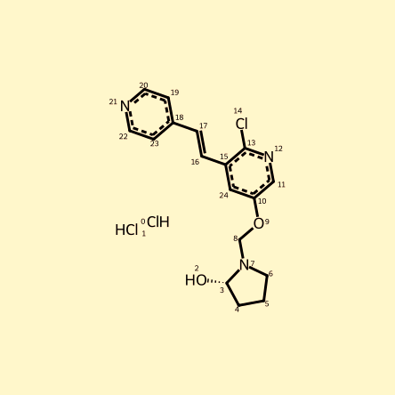 Cl.Cl.O[C@H]1CCCN1COc1cnc(Cl)c(C=Cc2ccncc2)c1